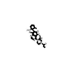 C=CC(=O)N1CCN2c3ncnc4c(F)c(-c5c(C)cccc5O)c(Cl)c(c34)OC[C@@H]2C1